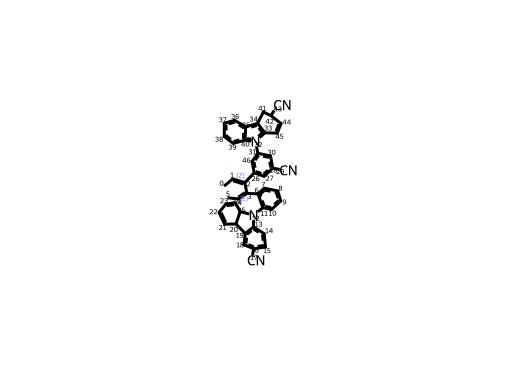 C/C=C(\C(=C/C)c1ccccc1N1c2ccc(C#N)cc2C2C=CC=CC21)c1cc(C#N)cc(-n2c3c(c4ccccc42)CC(C#N)C=C3)c1